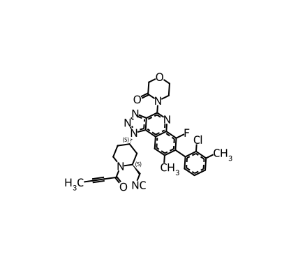 CC#CC(=O)N1CC[C@H](n2nnc3c(N4CCOCC4=O)nc4c(F)c(-c5cccc(C)c5Cl)c(C)cc4c32)C[C@H]1CC#N